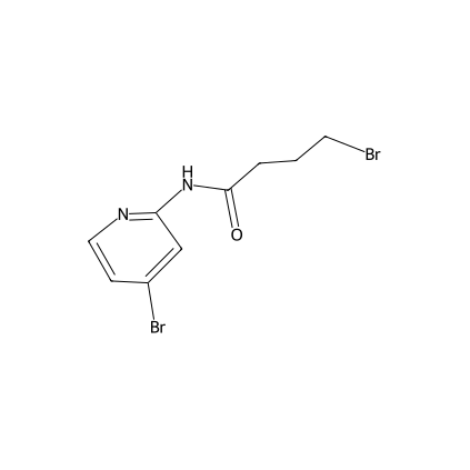 O=C(CCCBr)Nc1cc(Br)ccn1